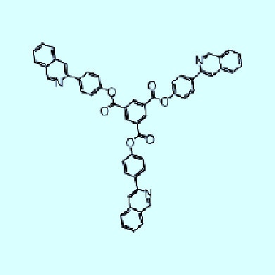 O=C(Oc1ccc(-c2cc3ccccc3cn2)cc1)c1cc(C(=O)Oc2ccc(-c3cc4ccccc4cn3)cc2)cc(C(=O)Oc2ccc(-c3cc4ccccc4cn3)cc2)c1